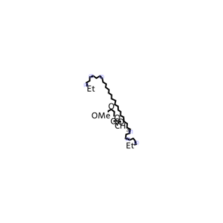 CC/C=C\C/C=C\C/C=C\CCCCCCCCC(CCCCCCCC/C=C\C/C=C\C/C=C\CC)OC(CCOS(C)(=O)=O)COC